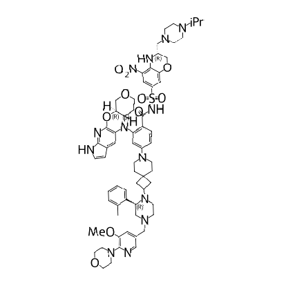 COc1cc(CN2CCN(C3CC4(CCN(c5ccc(C(=O)NS(=O)(=O)c6cc7c(c([N+](=O)[O-])c6)N[C@H](CN6CCN(C(C)C)CC6)CO7)c(N6c7cc8cc[nH]c8nc7O[C@H]7COCC[C@@H]76)c5)CC4)C3)[C@H](c3ccccc3C)C2)cnc1N1CCOCC1